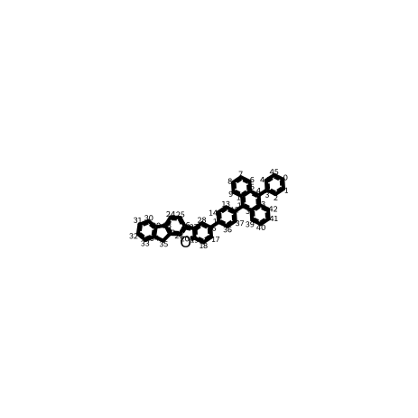 c1ccc(-c2c3ccccc3c(-c3ccc(-c4ccc5oc6c7c(ccc6c5c4)-c4ccccc4C7)cc3)c3ccccc23)cc1